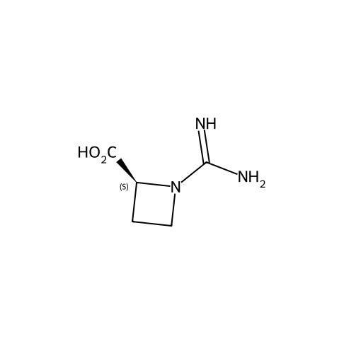 N=C(N)N1CC[C@H]1C(=O)O